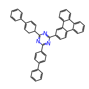 C1=CC(c2nc(-c3ccc(-c4ccccc4)cc3)nc(-c3ccc4c5ccccc5c5ccccc5c4c3)n2)CC=C1c1ccccc1